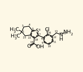 CC1(C)CCc2sc(-c3cccc(CNN)c3Cl)c(C(=O)O)c2C1